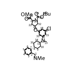 CNCc1ccccc1[C@H]1CC[C@H](N(C)c2cc(Cl)cc(O[C@H]3C[C@@H](C(=O)OC)N(C(=O)OC(C)(C)C)C3)c2)CC1